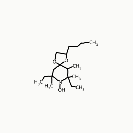 CCCCC1COC2(CC(C)(CC)N(O)C(C)(CC)C2C)O1